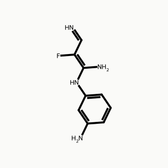 N=C/C(F)=C(\N)Nc1cccc(N)c1